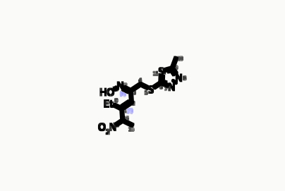 CC/C(=C\C(CSc1nnc(C)s1)=N/O)C(C)[N+](=O)[O-]